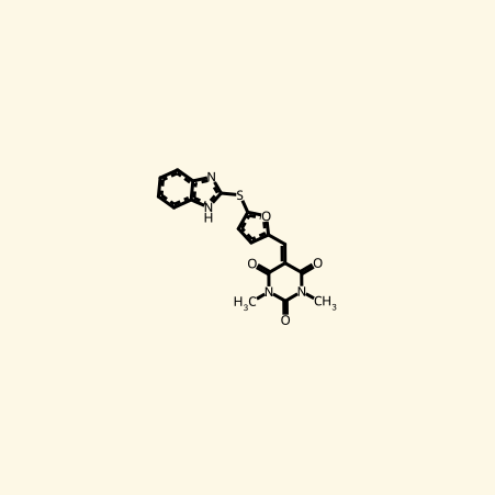 CN1C(=O)C(=Cc2ccc(Sc3nc4ccccc4[nH]3)o2)C(=O)N(C)C1=O